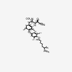 CNC(CCCCNOc1c(I)cc(Oc2c(I)cc(CC(NC(=O)C(C)(C)C)C(=O)O)cc2I)cc1I)C(C)=O